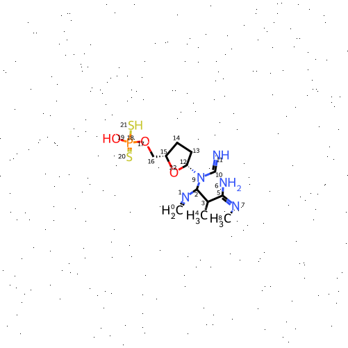 C=NC(C(C)/C(N)=N\C)N(C=N)[C@H]1CC[C@@H](COP(O)(=S)S)O1